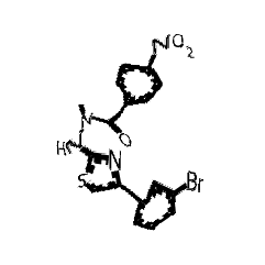 CN(Nc1nc(-c2cccc(Br)c2)cs1)C(=O)c1ccc([N+](=O)[O-])cc1